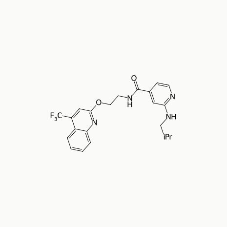 CC(C)CNc1cc(C(=O)NCCOc2cc(C(F)(F)F)c3ccccc3n2)ccn1